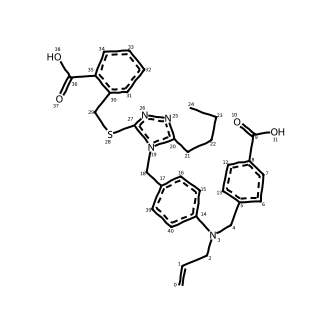 C=CCN(Cc1ccc(C(=O)O)cc1)c1ccc(Cn2c(CCCC)nnc2SCc2ccccc2C(=O)O)cc1